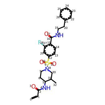 C=CC(=O)NC1CCN(S(=O)(=O)c2ccc(C(=O)NCCc3ccccc3)c(F)c2)CC1C